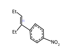 CC/C=C(\CC)c1ccc([N+](=O)[O-])cc1